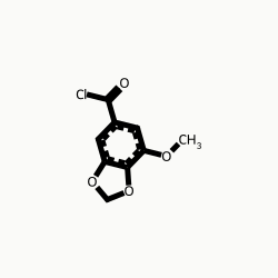 COc1cc(C(=O)Cl)cc2c1OCO2